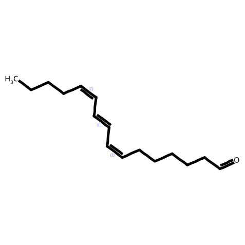 CCCC\C=C/C=C/C=C\CCCCCC=O